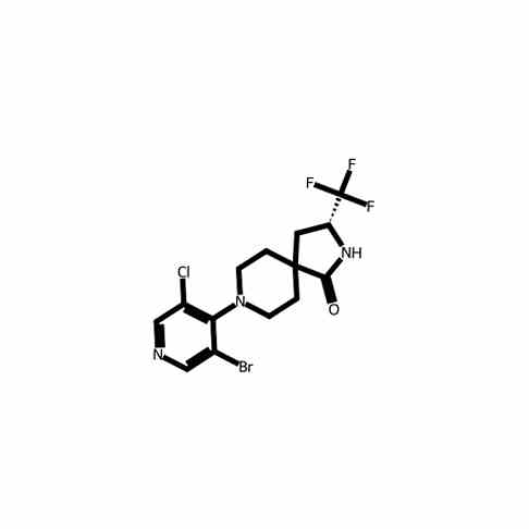 O=C1N[C@@H](C(F)(F)F)CC12CCN(c1c(Cl)cncc1Br)CC2